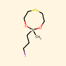 C[Si]1(CCCI)OCCSCCO1